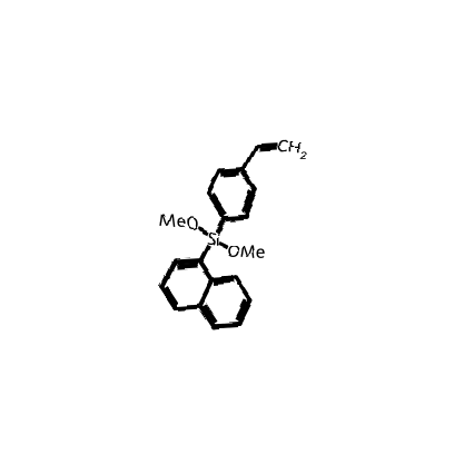 C=Cc1ccc([Si](OC)(OC)c2cccc3ccccc23)cc1